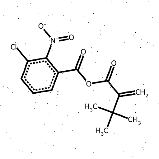 C=C(C(=O)OC(=O)c1cccc(Cl)c1[N+](=O)[O-])C(C)(C)C